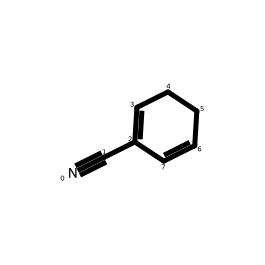 N#CC1=CCCC=C1